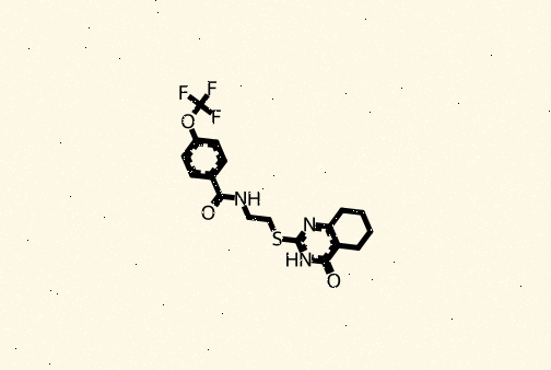 O=C(NCCSc1nc2c(c(=O)[nH]1)CCCC2)c1ccc(OC(F)(F)F)cc1